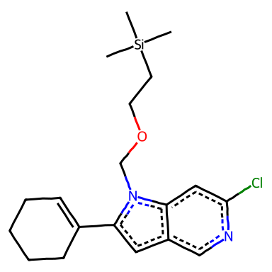 C[Si](C)(C)CCOCn1c(C2=CCCCC2)cc2cnc(Cl)cc21